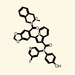 C[C@@H]1Cc2ccccc2CN1C(=O)c1cc2c(cc1-c1cc(C(=O)N(c3ccc(O)cc3)c3cncc(F)c3)c3ccccn13)OCO2